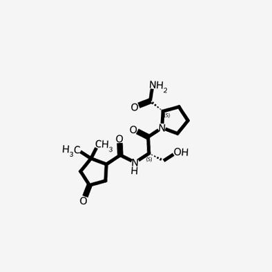 CC1(C)CC(=O)CC1C(=O)N[C@@H](CO)C(=O)N1CCC[C@H]1C(N)=O